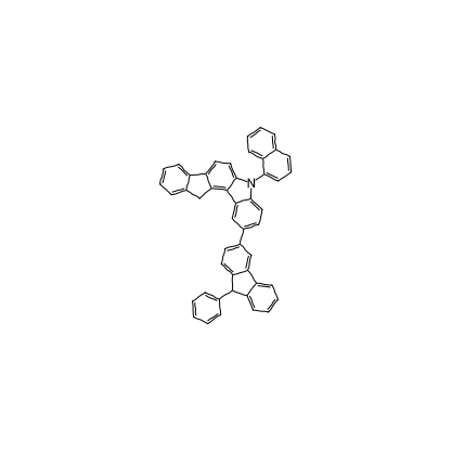 c1ccc(C2c3ccccc3-c3cc(-c4ccc5c(c4)c4c6c(ccc4n5-c4cccc5ccccc45)-c4ccccc4C6)ccc32)cc1